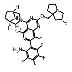 Cc1nc(-c2c(N)c(F)c(F)c(F)c2F)c(F)c2nc(OC[C@@]34CCCN3C[C@H](F)C4)nc(N3C[C@H]4CC[C@@H](C3)N4)c12